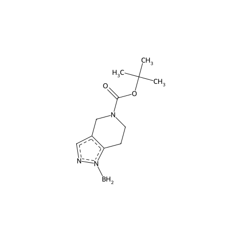 Bn1ncc2c1CCN(C(=O)OC(C)(C)C)C2